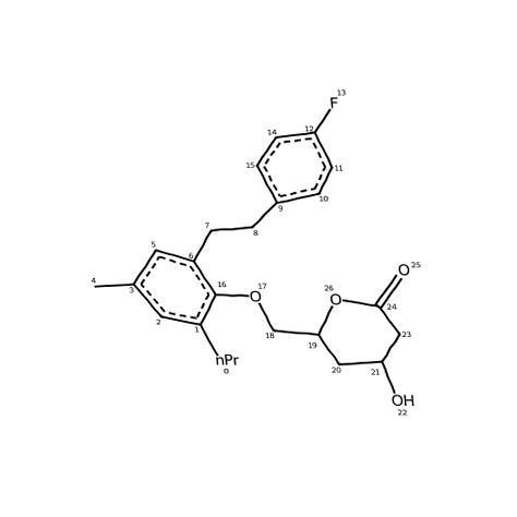 CCCc1cc(C)cc(CCc2ccc(F)cc2)c1OCC1CC(O)CC(=O)O1